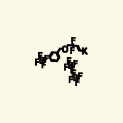 FC(F)(C=[CH][K])COCc1ccccc1.F[B-](F)(F)F.F[B-](F)(F)F.F[B-](F)(F)F